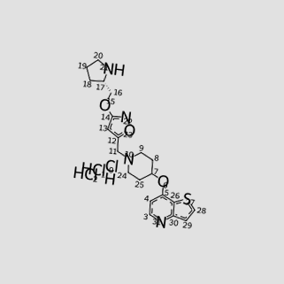 Cl.Cl.Cl.c1cc(OC2CCN(Cc3cc(OC[C@@H]4CCCN4)no3)CC2)c2sccc2n1